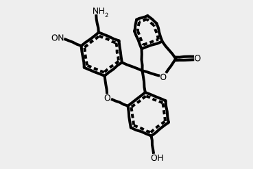 Nc1cc2c(cc1N=O)Oc1cc(O)ccc1C21OC(=O)c2ccccc21